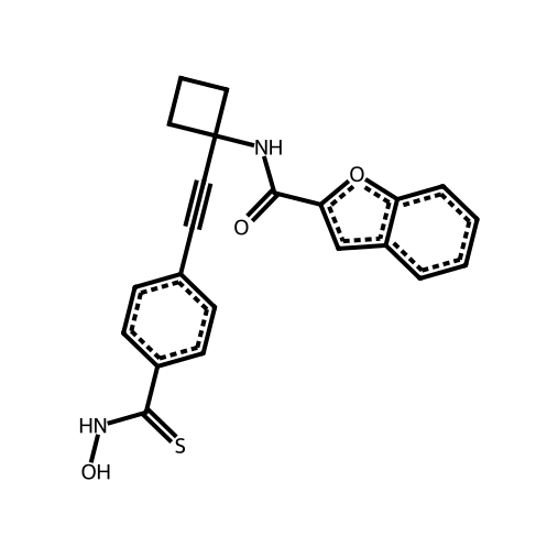 O=C(NC1(C#Cc2ccc(C(=S)NO)cc2)CCC1)c1cc2ccccc2o1